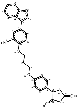 CCCc1cc(-c2noc3ccccc23)ccc1OCCCOc1ccc(C2NC(=O)SC2=O)cc1